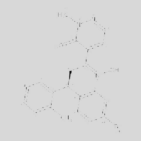 Cc1ccccc1[C@@H](CC(=NO)c1ccnn(C)c1=O)c1ccc(Br)cc1